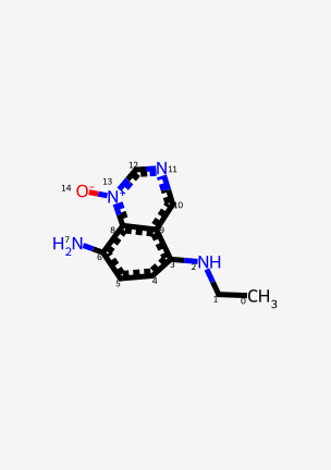 CCNc1ccc(N)c2c1cnc[n+]2[O-]